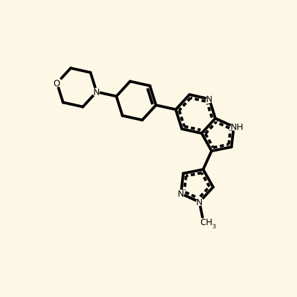 Cn1cc(-c2c[nH]c3ncc(C4=CCC(N5CCOCC5)CC4)cc23)cn1